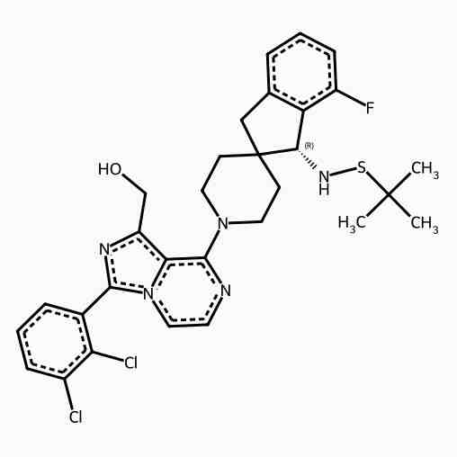 CC(C)(C)SN[C@H]1c2c(F)cccc2CC12CCN(c1nccn3c(-c4cccc(Cl)c4Cl)nc(CO)c13)CC2